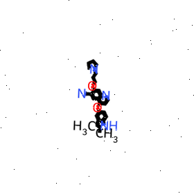 Cc1[nH]c2ccc(Oc3ccnc4cc(OCCCN5CCCC5)c(C#N)cc34)cc2c1C